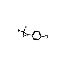 FC1(F)C[C]1c1ccc(Cl)cc1